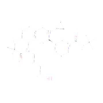 CC(C)(C)OC(=O)N1CCO[C@@H](C(=O)N(Cc2ccc3c(c2)N(CCCCO)C(=O)C(C)(C)O3)C2CC2)C1